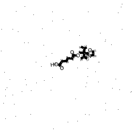 CC(C)C(COC(=O)CCCCC(=O)O)(C(C)C)C1NCCO1